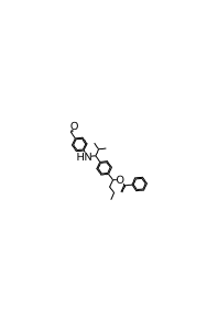 C=C(OC(CCC)c1ccc(C(Nc2ccc(C=O)cc2)C(C)C)cc1)c1ccccc1